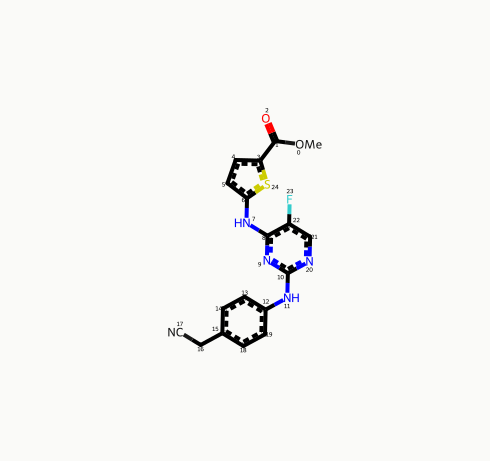 COC(=O)c1ccc(Nc2nc(Nc3ccc(CC#N)cc3)ncc2F)s1